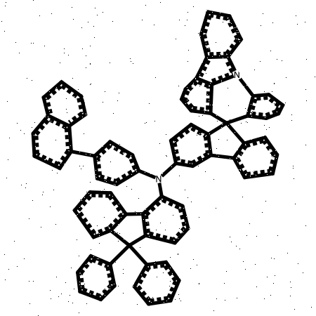 c1ccc(C2(c3ccccc3)c3ccccc3-c3c(N(c4ccc(-c5cccc6ccccc56)cc4)c4ccc5c(c4)-c4ccccc4C54c5ccccc5-n5c6ccccc6c6cccc4c65)cccc32)cc1